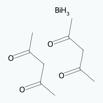 CC(=O)CC(C)=O.CC(=O)CC(C)=O.[BiH3]